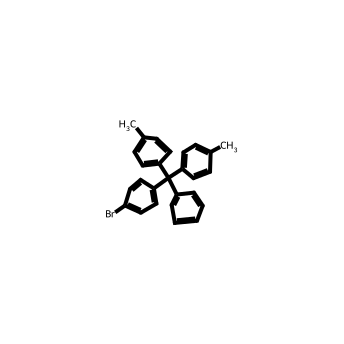 Cc1ccc(C(c2ccccc2)(c2ccc(C)cc2)c2ccc(Br)cc2)cc1